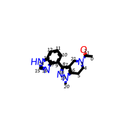 CC(=O)N1CCc2c(c(-c3cccc4[nH]cnc34)nn2C)C1